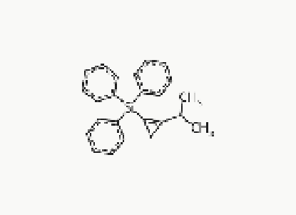 CC(C)C1=C([Si](c2ccccc2)(c2ccccc2)c2ccccc2)C1